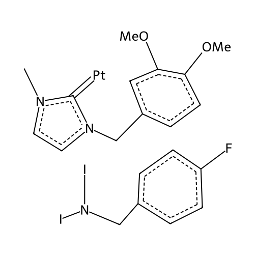 COc1ccc(Cn2ccn(C)[c]2=[Pt])cc1OC.Fc1ccc(CN(I)I)cc1